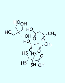 CC(=O)CC(=O)O.CC(=O)CC(=O)O.O=C(O)C(S)(S)C(S)S.OCC(CO)(CO)CO